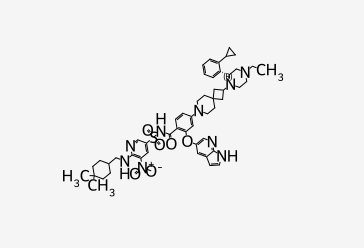 CCN1CCN(C2CC3(CCN(c4ccc(C(=O)NS(=O)(=O)c5cnc(NCC6CCC(C)(C)CC6)c([N+](=O)[O-])c5)c(Oc5cnc6[nH]ccc6c5)c4)CC3)C2)[C@H](c2ccccc2C2CC2)C1